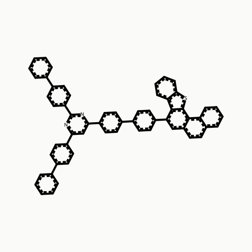 c1ccc(-c2ccc(-c3cc(-c4ccc(-c5ccc(-c6cc7ccc8ccccc8c7c7sc8ccccc8c67)cc5)cc4)nc(-c4ccc(-c5ccccc5)cc4)n3)cc2)cc1